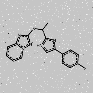 CC(Sc1nc2ccccn2n1)c1nc(-c2ccc(F)cc2)c[nH]1